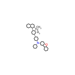 CC1(C)c2cc(-c3ccc(N(c4ccccc4)c4ccc5oc6ccccc6c5c4)cc3)ccc2-c2c1ccc1ccccc21